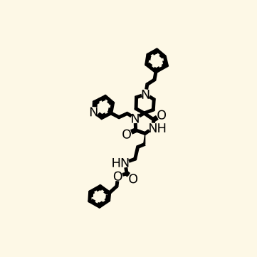 O=C(NCCC[C@@H]1NC(=O)C2(CCN(CCc3ccccc3)CC2)N(CCc2cccnc2)C1=O)OCc1ccccc1